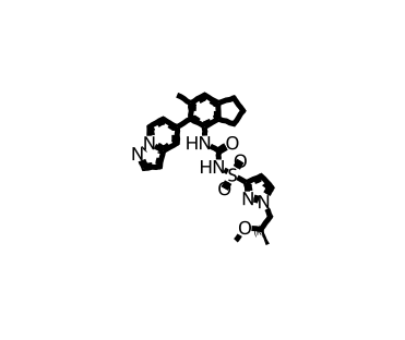 CO[C@H](C)Cn1ccc(S(=O)(=O)NC(=O)Nc2c3c(cc(C)c2-c2ccn4nccc4c2)CCC3)n1